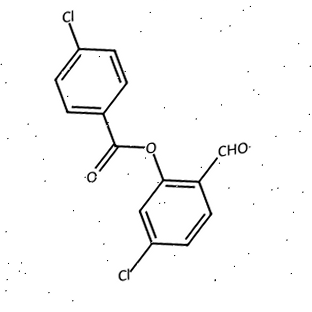 O=[C]c1ccc(Cl)cc1OC(=O)c1ccc(Cl)cc1